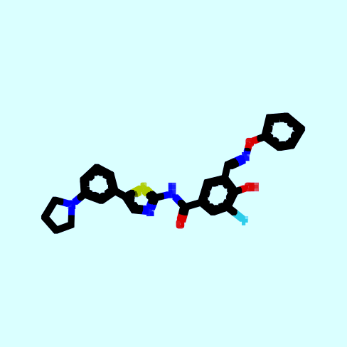 O=C(Nc1ncc(-c2cccc(N3CCCC3)c2)s1)c1cc(F)c(O)c(/C=N/Oc2ccccc2)c1